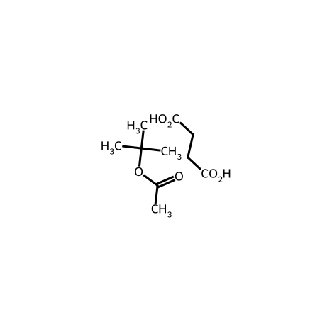 CC(=O)OC(C)(C)C.O=C(O)CCC(=O)O